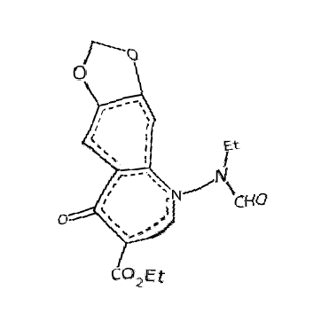 CCOC(=O)c1cn(N(C=O)CC)c2cc3c(cc2c1=O)OCO3